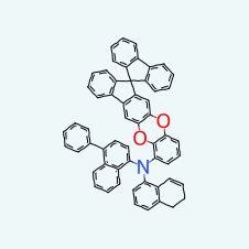 C1=Cc2c(cccc2N(c2cccc3c2Oc2cc4c(cc2O3)C2(c3ccccc3-c3ccccc32)c2ccccc2-4)c2ccc(-c3ccccc3)c3ccccc23)CC1